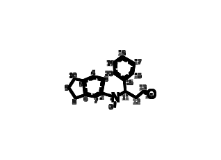 CN(c1ccc2c(c1)CCC2)C(CC=O)c1ccccc1